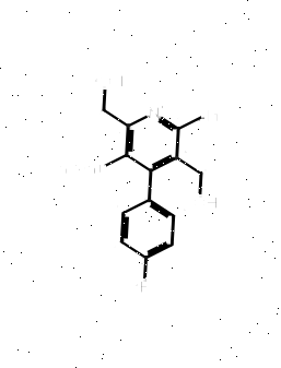 CCCCCc1c(CO)nc(C(C)C)c(CO)c1-c1ccc(F)cc1